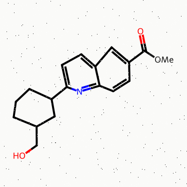 COC(=O)c1ccc2nc(C3CCCC(CO)C3)ccc2c1